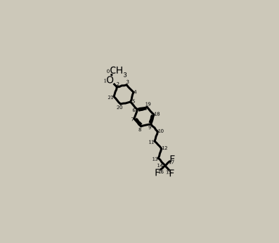 COC1CCC(c2ccc(CCCCC(F)(F)F)cc2)CC1